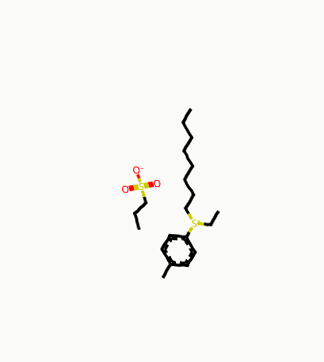 CCCCCCCC[S+](CC)c1ccc(C)cc1.CCCS(=O)(=O)[O-]